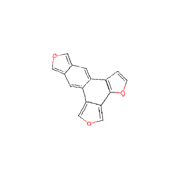 c1cc2c3cc4cocc4cc3c3cocc3c2o1